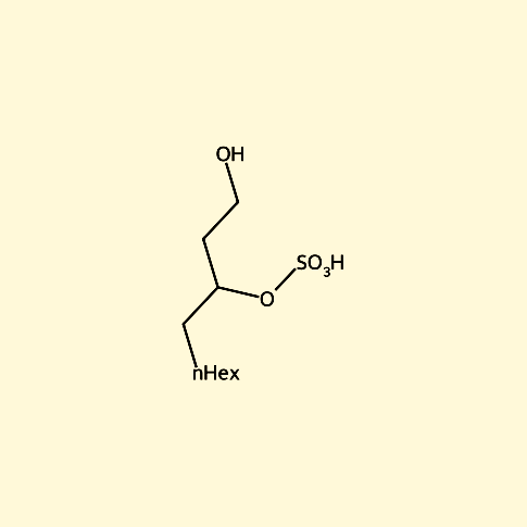 CCCCCCCC(CCO)OS(=O)(=O)O